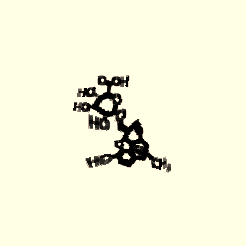 CN1CCC23c4c5ccc(O)c4OC2C(COC2O[C@H](C(=O)O)[C@@H](O)[C@H](O)[C@H]2O)C=CC3C1C5